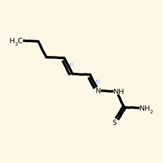 CCC/C=C/C=N/NC(N)=S